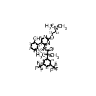 Cc1ccccc1-c1cnc(OCCN(C)C)nc1N(C)C(=O)C(C)(C)c1cc(C(F)(F)F)cc(C(F)(F)F)c1